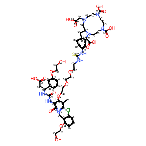 Cc1cn(Cc2c(Cl)cccc2OCCO)c(=O)c(NC(=O)N[C@@H](CC(=O)O)c2cccc(OCCO)c2)c1OCCOCCOCCNC(=S)Nc1ccc(CC2CN(CC(=O)O)CCN(C(=O)O)CCN(C(=O)O)CCN2CC(=O)O)cc1